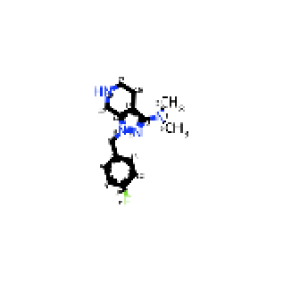 CN(C)c1nn(Cc2ccc(F)cc2)c2c1CCNC2